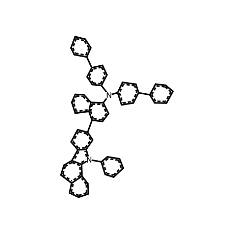 c1ccc(-c2ccc(N(c3ccc(-c4ccccc4)cc3)c3ccc(-c4ccc5c6ccc7ccccc7c6n(-c6ccccc6)c5c4)c4ccccc34)cc2)cc1